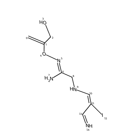 C=C(CO)O/N=C(\N)CN/C=C(/I)C=N